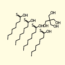 CCCCCCCC(O)=S.CCCCCCCC(O)=S.CCCCCCCC(O)=S.CCCCCCCC(O)=S.OCC(CO)(CO)CO